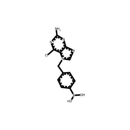 Nc1nc(Cl)c2c(ncn2Cc2ccc(B(O)O)cc2)n1